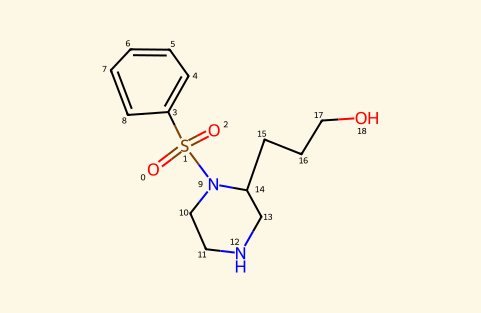 O=S(=O)(c1ccccc1)N1CCNCC1CCCO